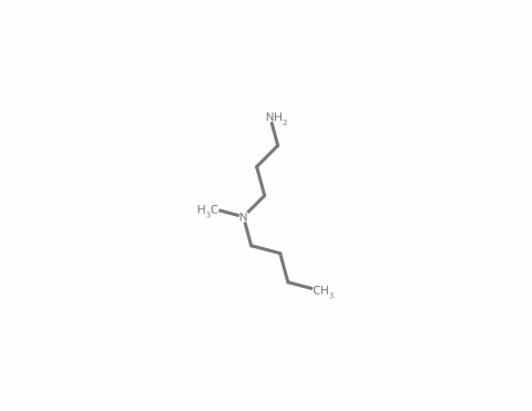 CCCCN(C)CCCN